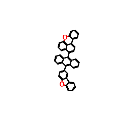 c1ccc2c(c1)Oc1cccc3c(-c4c5ccccc5c(-c5ccc6oc7ccccc7c6c5)c5ccccc45)ccc-2c13